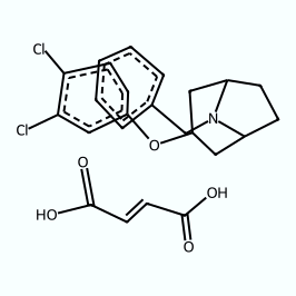 Clc1ccc(OC2CC3CCC(C2)N3Cc2ccccc2)cc1Cl.O=C(O)C=CC(=O)O